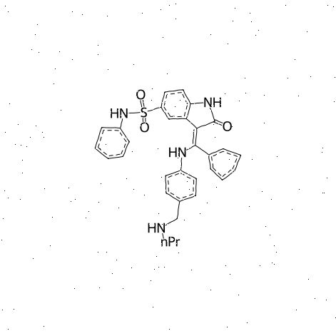 CCCNCc1ccc(NC(=C2C(=O)Nc3ccc(S(=O)(=O)Nc4ccccc4)cc32)c2ccccc2)cc1